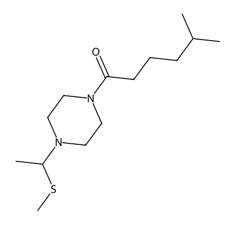 CSC(C)N1CCN(C(=O)CCCC(C)C)CC1